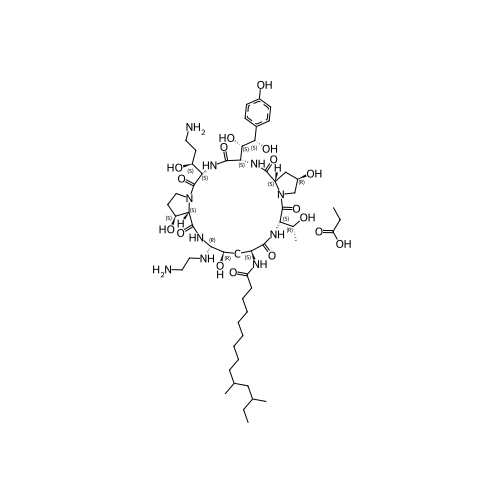 CCC(=O)O.CCC(C)CC(C)CCCCCCCCC(=O)N[C@H]1C[C@@H](O)[C@H](NCCN)NC(=O)[C@@H]2[C@@H](O)CCN2C(=O)[C@H]([C@@H](O)CCN)NC(=O)[C@H]([C@H](O)[C@@H](O)c2ccc(O)cc2)NC(=O)[C@@H]2C[C@@H](O)CN2C(=O)[C@H]([C@@H](C)O)NC1=O